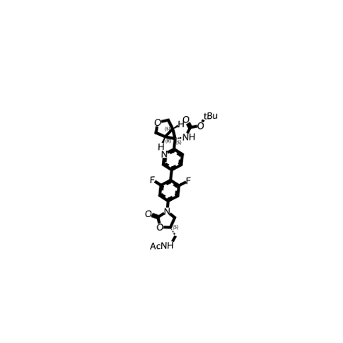 CC(=O)NC[C@H]1CN(c2cc(F)c(-c3ccc([C@@]4(NC(=O)OC(C)(C)C)[C@@H]5COC[C@@H]54)nc3)c(F)c2)C(=O)O1